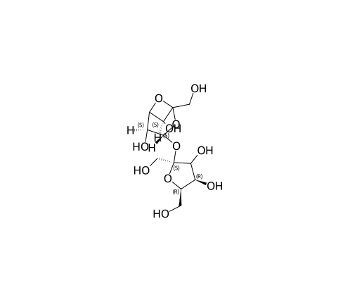 OC[C@H]1O[C@@](CO)(O[C@H]2OC3(CO)OC([C@@H]2O)[C@@H]3O)C(O)[C@H]1O